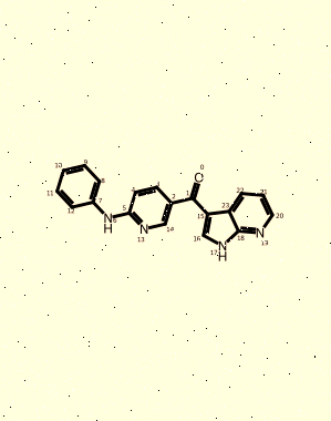 O=C(c1ccc(Nc2ccccc2)nc1)c1c[nH]c2ncccc12